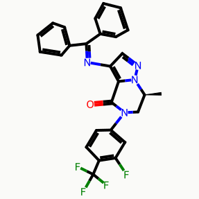 C[C@H]1CN(c2ccc(C(F)(F)F)c(F)c2)C(=O)c2c(N=C(c3ccccc3)c3ccccc3)cnn21